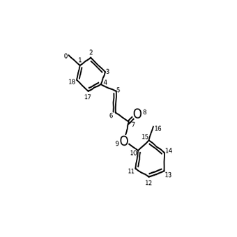 Cc1ccc(/C=C/C(=O)Oc2ccccc2C)cc1